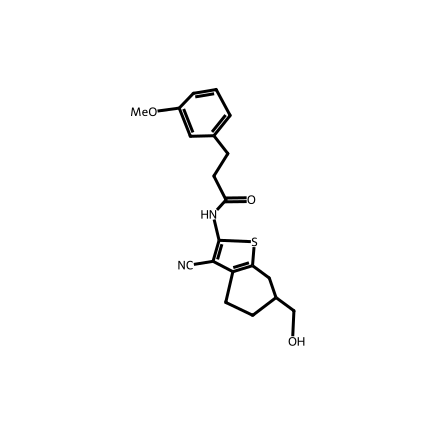 COc1cccc(CCC(=O)Nc2sc3c(c2C#N)CCC(CO)C3)c1